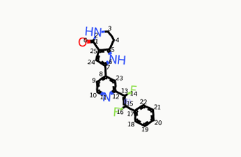 O=C1NCCc2[nH]c(-c3ccnc(/C(F)=C(\F)c4ccccc4)c3)cc21